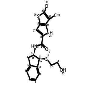 O=C(N[C@@H]1Cc2ccccc2[C@@H]1SCCO)c1cc2sc(Cl)c(Cl)c2[nH]1